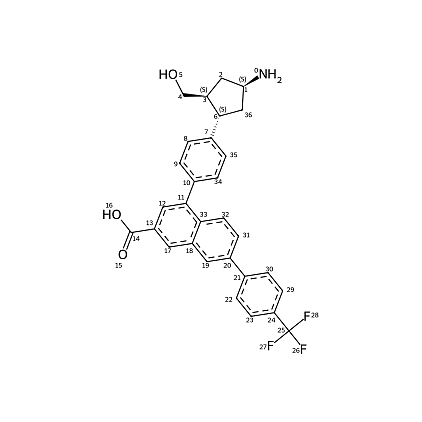 N[C@@H]1C[C@H](CO)[C@@H](c2ccc(-c3cc(C(=O)O)cc4cc(-c5ccc(C(F)(F)F)cc5)ccc34)cc2)C1